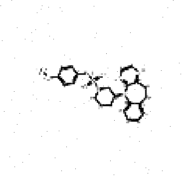 O=S(=O)(Nc1ccc(OC(F)(F)F)cc1)N1CCCC(N2c3ccccc3CCc3nccnc32)C1